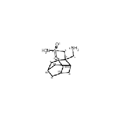 NCC1(CS(N)(=O)=O)C2CC3CC(C2)CC1C3